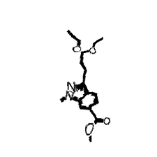 CCOC(CCc1nn(C)c2cc(C(=O)OC)ccc12)OCC